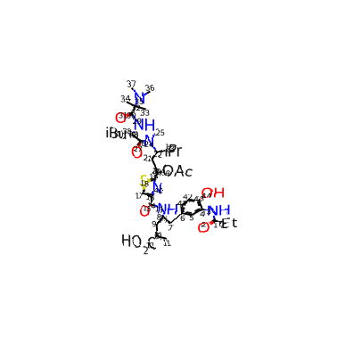 CCC(=O)Nc1cc(C[C@@H](C[C@H](C)C(=O)O)NC(=O)c2csc([C@@H](CC(C(C)C)N(C)C(=O)[C@@H](NC(=O)C(C)(C)N(C)C)[C@@H](C)CC)OC(C)=O)n2)ccc1O